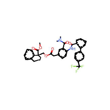 COC(=O)C1(COC(=O)Cc2ccc(NC(=O)c3ccccc3-c3ccc(C(F)(F)F)cc3)c(C(=O)N(C)C)c2)CCCc2ccccc21